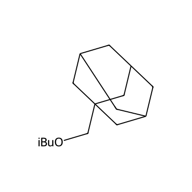 CC(C)COCC12CC3CC(CC(C3)C1)C2